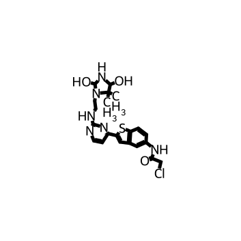 CC1(C)C(O)NC(O)N1CCNc1nccc(-c2cc3cc(NC(=O)CCl)ccc3s2)n1